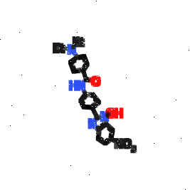 CCN(CC)c1ccc(C(=O)Nc2ccc(-c3nc4ccc([N+](=O)[O-])cc4n3O)cc2)cc1